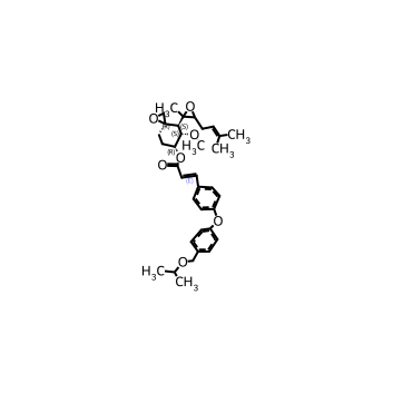 CO[C@H]1[C@H](C2(C)OC2CC=C(C)C)[C@]2(CC[C@H]1OC(=O)/C=C/c1ccc(Oc3ccc(COC(C)C)cc3)cc1)CO2